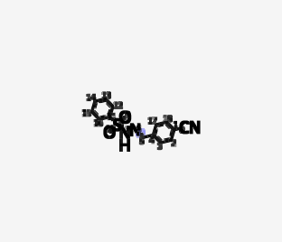 N#Cc1ccc(/C=N/NS(=O)(=O)c2ccccc2)cc1